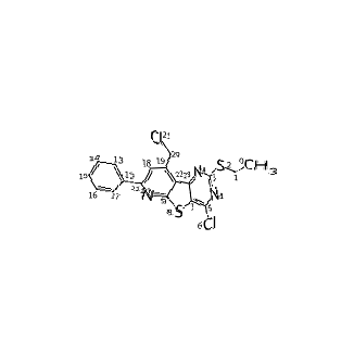 CCSc1nc(Cl)c2sc3nc(-c4ccccc4)cc(CCl)c3c2n1